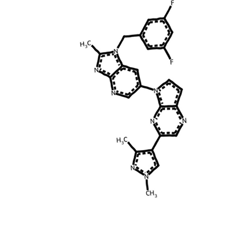 Cc1nn(C)cc1-c1cnc2ccn(-c3cnc4nc(C)n(Cc5cc(F)cc(F)c5)c4c3)c2n1